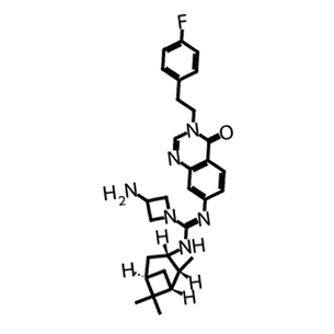 C[C@H]1[C@@H](NC(=Nc2ccc3c(=O)n(CCc4ccc(F)cc4)cnc3c2)N2CC(N)C2)C[C@H]2C[C@H]1C2(C)C